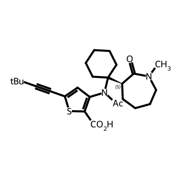 CC(=O)N(c1cc(C#CC(C)(C)C)sc1C(=O)O)C1([C@@H]2CCCCN(C)C2=O)CCCCC1